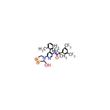 Cc1ccccc1-c1cc(N2CCS(=O)(=O)CC2CO)ncc1N(C)C(=O)C(C)(C)c1cc(C(F)(F)F)cc(C(F)(F)F)c1